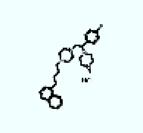 CN1CCN(C(CN2CCN(CCCCc3cccc4ccccc34)CC2)c2ccc(F)cc2)CC1.Cl